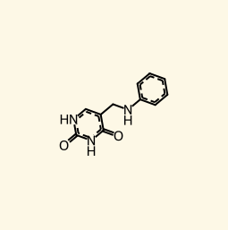 O=c1[nH]cc(CNc2ccccc2)c(=O)[nH]1